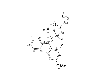 COc1ccc2c(c1)SCC(CC(O)CC(F)(F)F)(CC(F)(F)F)NC2c1ccccc1